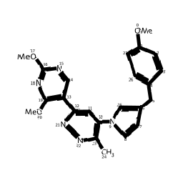 COc1ccc(Cc2ccn(-c3cc(-c4cnc(OC)nc4OC)nnc3C)c2)cc1